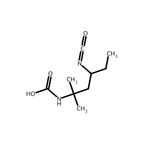 CCC(CC(C)(C)NC(=O)O)N=C=O